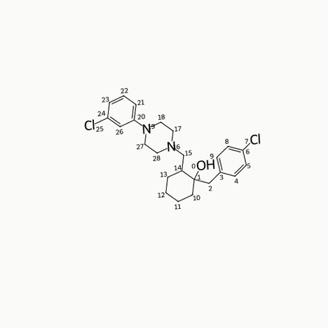 OC1(Cc2ccc(Cl)cc2)CCCCC1CN1CCN(c2cccc(Cl)c2)CC1